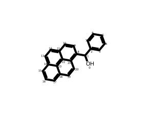 OC(c1ccccc1)c1ccc2ccc3cccc4ccc1c2c34